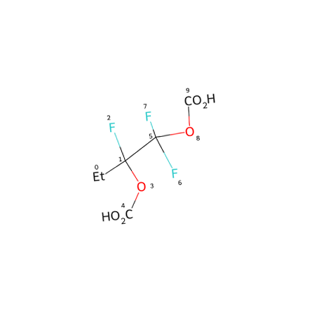 CCC(F)(OC(=O)O)C(F)(F)OC(=O)O